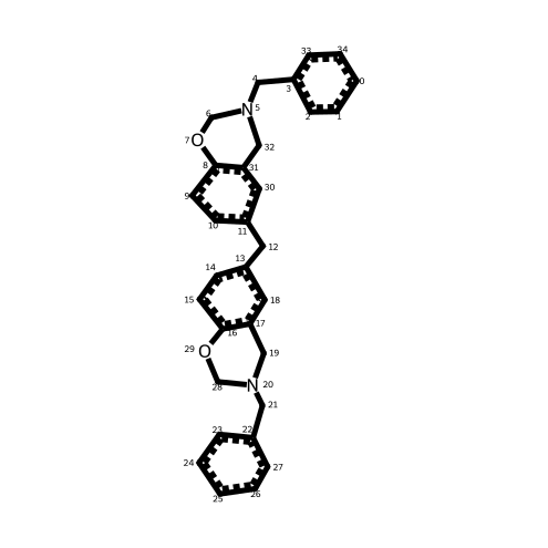 c1ccc(CN2COc3ccc(Cc4ccc5c(c4)CN(Cc4ccccc4)CO5)cc3C2)cc1